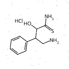 Cl.NCC(c1ccccc1)C(O)C(N)=S